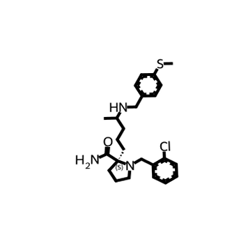 CSc1ccc(CNC(C)CCC[C@@]2(C(N)=O)CCCN2Cc2ccccc2Cl)cc1